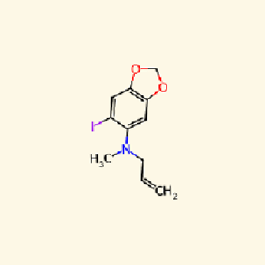 C=CCN(C)c1cc2c(cc1I)OCO2